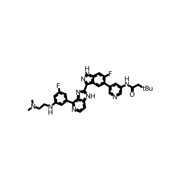 CN(C)CCNc1cc(F)cc(-c2nccc3[nH]c(-c4n[nH]c5cc(F)c(-c6cncc(NC(=O)CC(C)(C)C)c6)cc45)nc23)c1